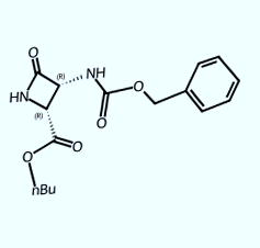 CCCCOC(=O)[C@@H]1NC(=O)[C@@H]1NC(=O)OCc1ccccc1